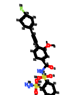 COc1cc(C(=O)NS(=O)(=O)c2ccccc2S(N)(=O)=O)ccc1C#Cc1ccc(F)cc1